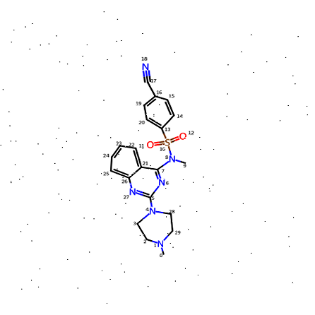 CN1CCN(c2nc(N(C)S(=O)(=O)c3ccc(C#N)cc3)c3ccccc3n2)CC1